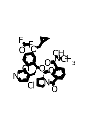 CN(C)C(=O)c1cccc(C(=O)N2CCC[C@@H]2C(=O)O[C@@H](Cc2c(Cl)cncc2Cl)c2ccc(OC(F)F)c(OCC3CC3)c2)c1